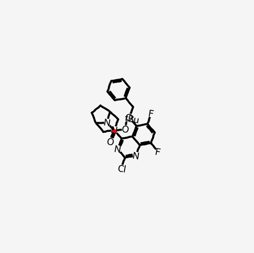 CC(C)(C)OC(=O)N1C2CCC1CN(c1nc(Cl)nc3c(F)cc(F)c(OCc4ccccc4)c13)C2